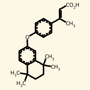 C/C(=C\C(=O)O)c1ccc(Oc2ccc3c(c2)C(C)(C)CCC3(C)C)cc1